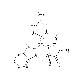 CCN1C(=O)[C@@H]2Cc3c([nH]c4ccccc34)[C@H](c3ccc(OC)cc3)N2C1=O